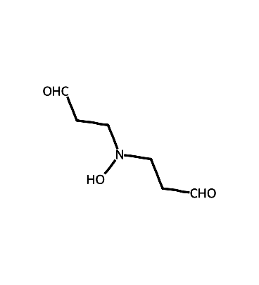 O=CCCN(O)CCC=O